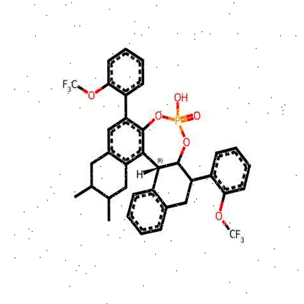 CC1Cc2cc(-c3ccccc3OC(F)(F)F)c3c(c2CC1C)[C@H]1c2ccccc2CC(c2ccccc2OC(F)(F)F)C1OP(=O)(O)O3